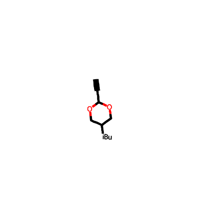 C#CC1OCC(C(C)CC)CO1